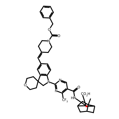 CC12CC3CC1CC2CC3(NC(=O)c1cnc(N2CC3(CCOCC3)c3cc(C=C4CCN(C(=O)OCc5ccccc5)CC4)ccc32)nc1C(F)(F)F)C(=O)O